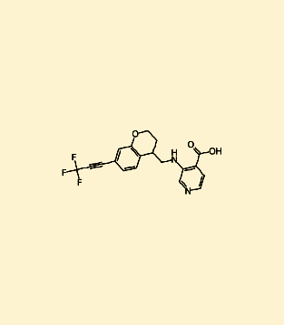 O=C(O)c1ccncc1NCC1CCOc2cc(C#CC(F)(F)F)ccc21